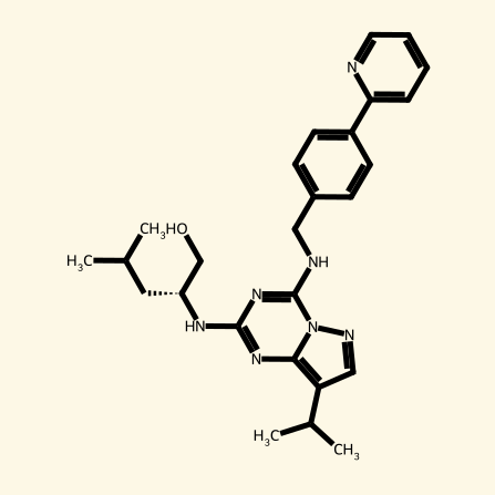 CC(C)C[C@H](CO)Nc1nc(NCc2ccc(-c3ccccn3)cc2)n2ncc(C(C)C)c2n1